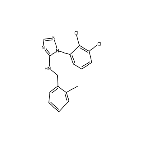 Cc1ccccc1CNc1ncnn1-c1cccc(Cl)c1Cl